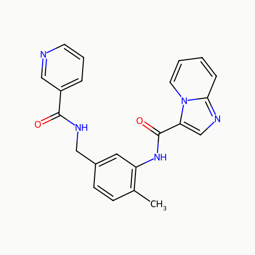 Cc1ccc(CNC(=O)c2cccnc2)cc1NC(=O)c1cnc2ccccn12